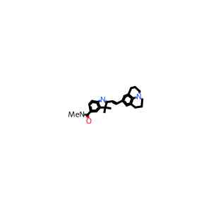 CNC(=O)c1ccc2c(c1)C(C)(C)C(/C=C/c1cc3c4c(c1)CCCN4CCC3)=N2